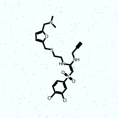 C#CCN/C(=C/S(=O)(=O)c1ccc(Cl)c(Cl)c1)NCCSCc1ccc(CN(C)C)o1